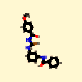 COc1ccc(C(=O)NC(=S)Nc2cccc(NC(=O)c3ccccc3)c2)cc1